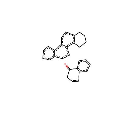 O=C1CC=Cc2ccccc21.c1ccc2c(c1)ccc1c3c(ccc12)CCCC3